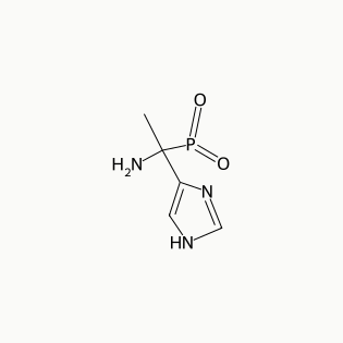 CC(N)(c1c[nH]cn1)P(=O)=O